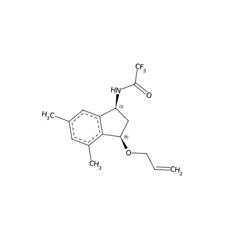 C=CCO[C@@H]1C[C@H](NC(=O)C(F)(F)F)c2cc(C)cc(C)c21